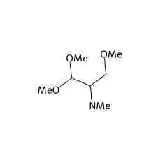 CNC(COC)C(OC)OC